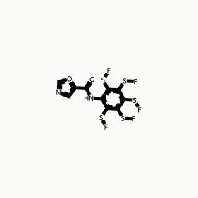 O=C(Nc1c(SF)c(SF)c(SF)c(SF)c1SF)c1cnco1